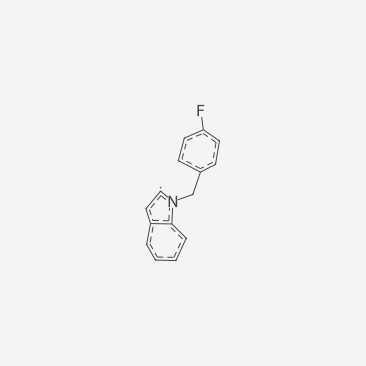 Fc1ccc(Cn2[c]cc3ccccc32)cc1